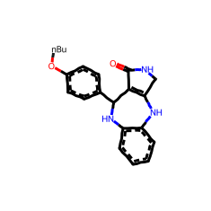 CCCCOc1ccc(C2Nc3ccccc3NC3=C2C(=O)NC3)cc1